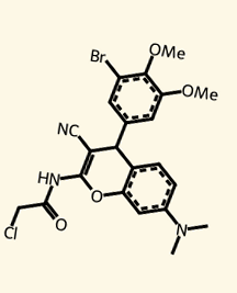 COc1cc(C2C(C#N)=C(NC(=O)CCl)Oc3cc(N(C)C)ccc32)cc(Br)c1OC